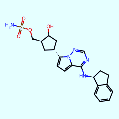 NS(=O)(=O)OC[C@@H]1C[C@@H](c2ccc3c(N[C@H]4CCc5ccccc54)ncnn23)C[C@@H]1O